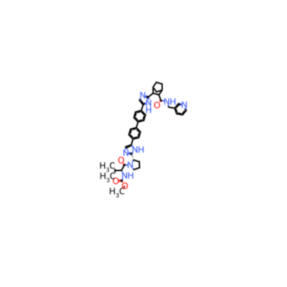 COC(=O)N[C@H](C(=O)N1CCC[C@H]1c1ncc(-c2ccc(-c3ccc(-c4cnc(C5C6CCC(C6)C5C(=O)NCc5cccnc5)[nH]4)cc3)cc2)[nH]1)C(C)C